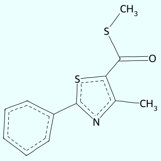 CSC(=O)c1sc(-c2ccccc2)nc1C